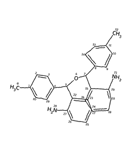 Cc1ccc(C(OC(c2ccc(C)cc2)c2ccccc2N)c2ccccc2N)cc1